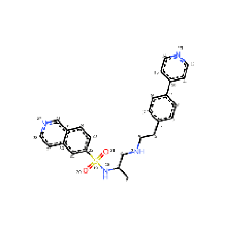 CC(CNCCc1ccc(-c2ccncc2)cc1)NS(=O)(=O)c1ccc2cnccc2c1